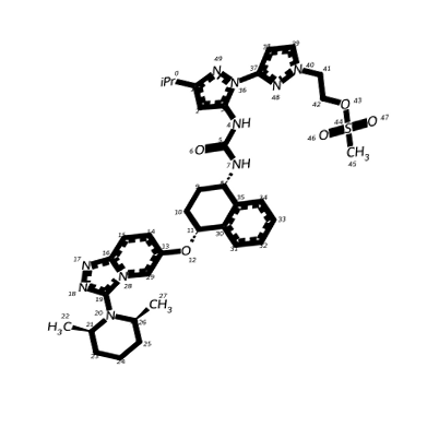 CC(C)c1cc(NC(=O)N[C@H]2CC[C@@H](Oc3ccc4nnc(N5[C@H](C)CCC[C@@H]5C)n4c3)c3ccccc32)n(-c2ccn(CCOS(C)(=O)=O)n2)n1